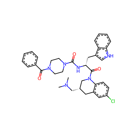 CN(C)C[C@H]1Cc2cc(Cl)ccc2N(C(=O)[C@@H](Cc2c[nH]c3ccccc23)NC(=O)N2CCN(C(=O)c3ccccc3)CC2)C1